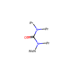 CNN(C(=O)N(C(C)C)C(C)C)C(C)C